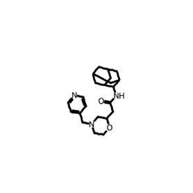 O=C(CC1CN(Cc2ccncc2)CCO1)NC1C2CC3CC(C2)CC1C3